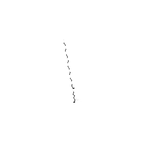 COCCOCCOCCOCCOCCOCCOCCOCCC(=O)NCCCC[C@@H](N)C(=O)O